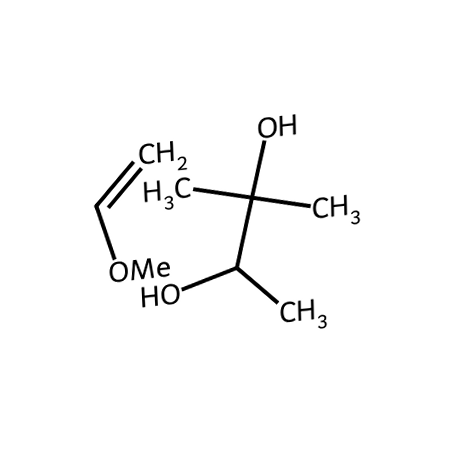 C=COC.CC(O)C(C)(C)O